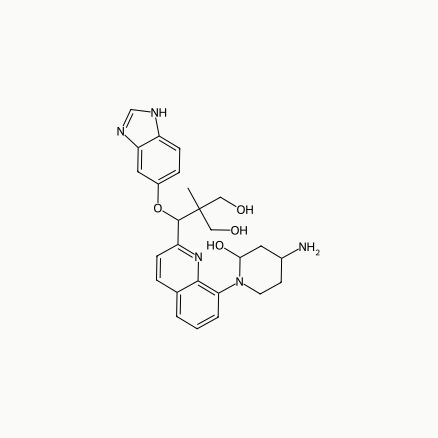 CC(CO)(CO)C(Oc1ccc2[nH]cnc2c1)c1ccc2cccc(N3CCC(N)CC3O)c2n1